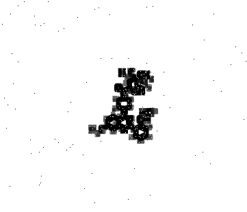 Cc1ccc2c(N3CCN(C(=O)C(O)CC(C)(C)C)CC3)nc(-c3ccccc3O)nc2c1.Cl